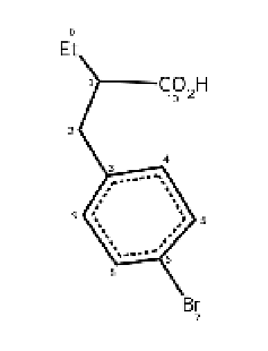 CCC(Cc1ccc(Br)cc1)C(=O)O